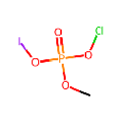 COP(=O)(OCl)OI